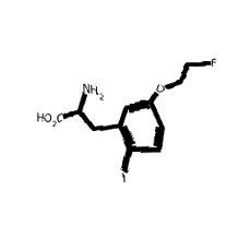 NC(Cc1cc(OCCF)ccc1I)C(=O)O